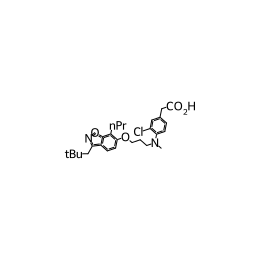 CCCc1c(OCCCN(C)c2ccc(CC(=O)O)cc2Cl)ccc2c(CC(C)(C)C)noc12